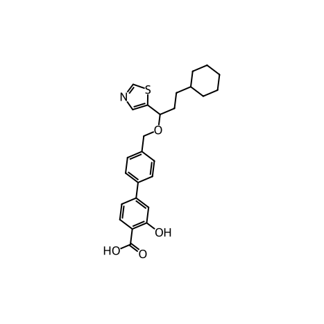 O=C(O)c1ccc(-c2ccc(COC(CCC3CCCCC3)c3cncs3)cc2)cc1O